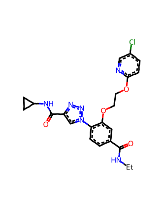 CCNC(=O)c1ccc(-n2cc(C(=O)NC3CC3)nn2)c(OCCOc2ccc(Cl)cn2)c1